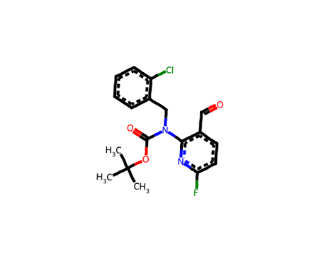 CC(C)(C)OC(=O)N(Cc1ccccc1Cl)c1nc(F)ccc1C=O